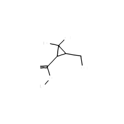 CCOC(=O)C1C(CO)C1(C)C